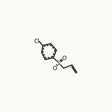 C=CCS(=O)(=O)c1ccc(Cl)cc1